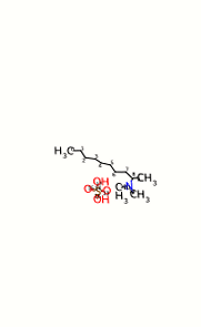 CCCCCCCCC(C)N(C)C.O=S(=O)(O)O